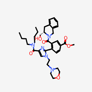 CCCCN(CCCC)C(=O)c1cn(CCN2CCOCC2)c(-c2ccc(C(=O)OC)cc2C(=O)N2Cc3ccccc3C[C@H]2CO)n1